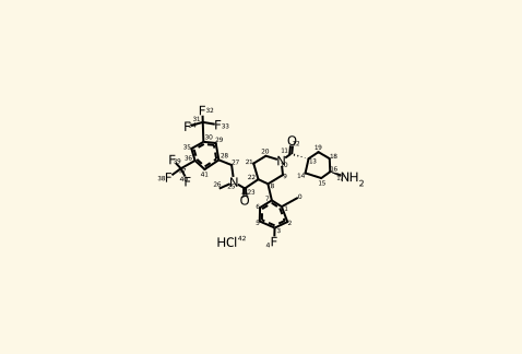 Cc1cc(F)ccc1C1CN(C(=O)[C@H]2CC[C@H](N)CC2)CCC1C(=O)N(C)Cc1cc(C(F)(F)F)cc(C(F)(F)F)c1.Cl